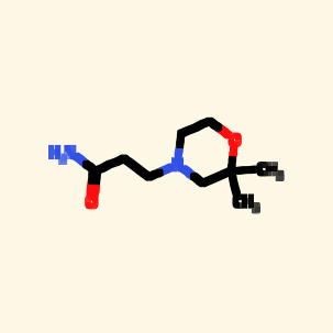 CC1(C)CN(CCC(N)=O)CCO1